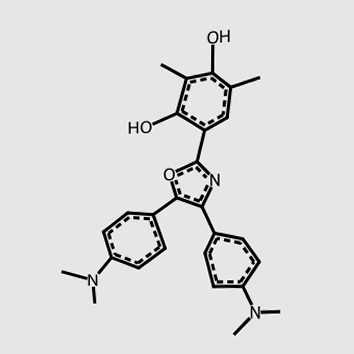 Cc1cc(-c2nc(-c3ccc(N(C)C)cc3)c(-c3ccc(N(C)C)cc3)o2)c(O)c(C)c1O